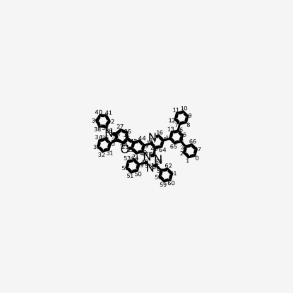 c1ccc(-c2cc(-c3ccccc3)cc(-c3cnc(-c4ccc5oc6c(ccc7c6c6ccccc6n7-c6ccccc6)c5c4)c(-c4nc(-c5ccccc5)nc(-c5ccccc5)n4)c3)c2)cc1